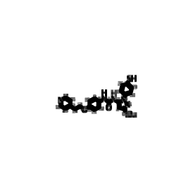 CC(C)(C)c1cc(NC(=O)Nc2ccc(OCCc3ccncc3)cc2)n(-c2ccc(S)cc2)n1